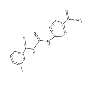 Cc1cccc(C(=O)NC(=S)Nc2ccc(C(N)=O)cc2)c1